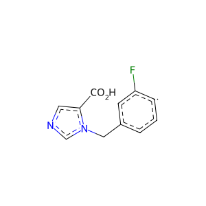 O=C(O)c1cncn1Cc1cc[c]c(F)c1